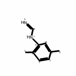 Cc1ccc(C)c(NC=N)c1